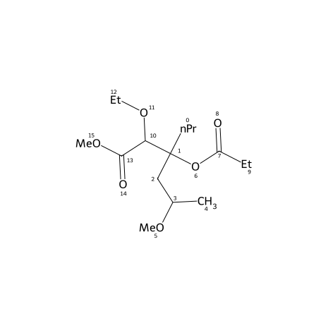 CCCC(CC(C)OC)(OC(=O)CC)C(OCC)C(=O)OC